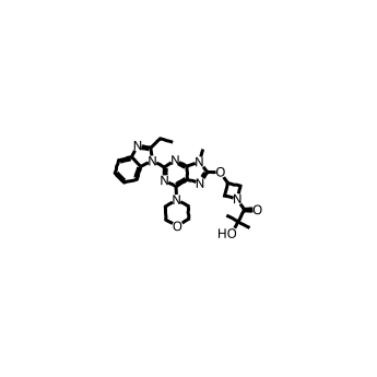 CCc1nc2ccccc2n1-c1nc(N2CCOCC2)c2nc(OC3CN(C(=O)C(C)(C)O)C3)n(C)c2n1